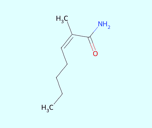 CCCC/C=C(/C)C(N)=O